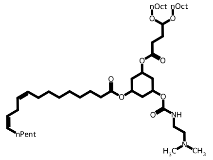 CCCCC/C=C\C/C=C\CCCCCCCC(=O)OC1CC(OC(=O)CCC(OCCCCCCCC)OCCCCCCCC)CC(OC(=O)NCCN(C)C)C1